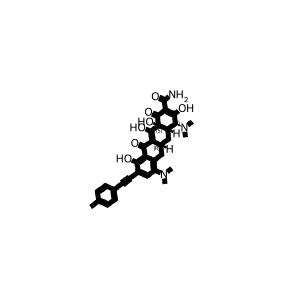 Cc1ccc(C#Cc2cc(N(C)C)c3c(c2O)C(=O)C2=C(O)[C@]4(O)C(=O)C(C(N)=O)=C(O)[C@H](N(C)C)[C@@H]4C[C@@H]2C3)cc1